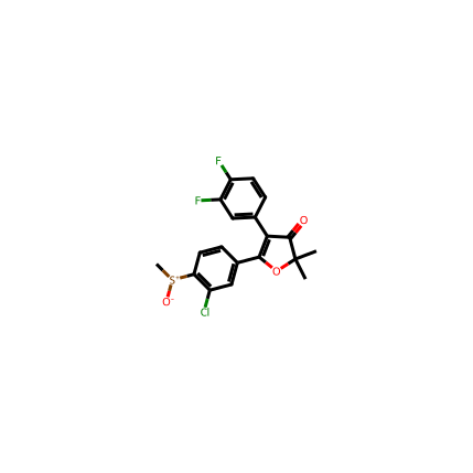 C[S+]([O-])c1ccc(C2=C(c3ccc(F)c(F)c3)C(=O)C(C)(C)O2)cc1Cl